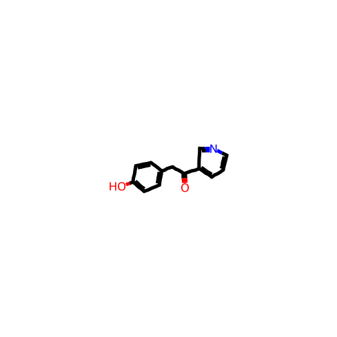 O=C(Cc1ccc(O)cc1)c1cccnc1